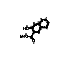 COC(=O)c1cc2ccccc2[c]c1O